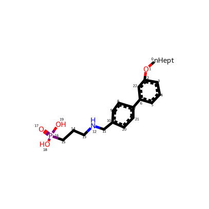 CCCCCCCOc1cccc(-c2ccc(CNCCCP(=O)(O)O)cc2)c1